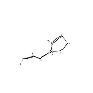 FCCN1[CH]C[C]=N1